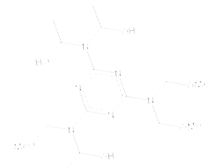 COCN(COC)c1nc(N(COC)C(C)O)nc(N(C(C)O)C(C)O)n1